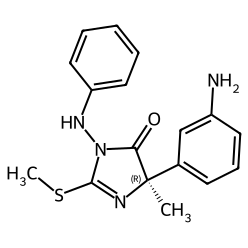 CSC1=N[C@](C)(c2cccc(N)c2)C(=O)N1Nc1ccccc1